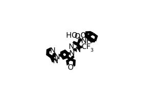 O=C(NC1(C(=O)O)C2CC3CC(C2)CC1C3)c1cnc(N2CC3(CCOCC3)c3cc(-n4ncc5cccnc54)ccc32)nc1C(F)(F)F